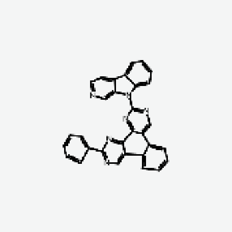 c1ccc(-c2ncc3c4ccccc4c4cnc(-n5c6ccccc6c6ccncc65)nc4c3n2)cc1